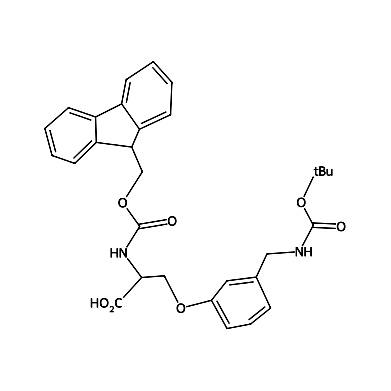 CC(C)(C)OC(=O)NCc1cccc(OCC(NC(=O)OCC2c3ccccc3-c3ccccc32)C(=O)O)c1